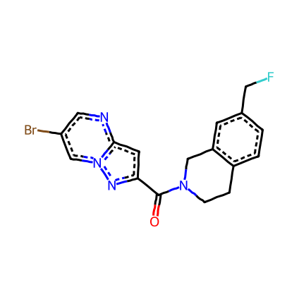 O=C(c1cc2ncc(Br)cn2n1)N1CCc2ccc(CF)cc2C1